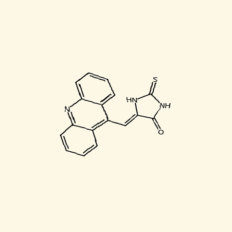 O=C1NC(=S)N/C1=C\c1c2ccccc2nc2ccccc12